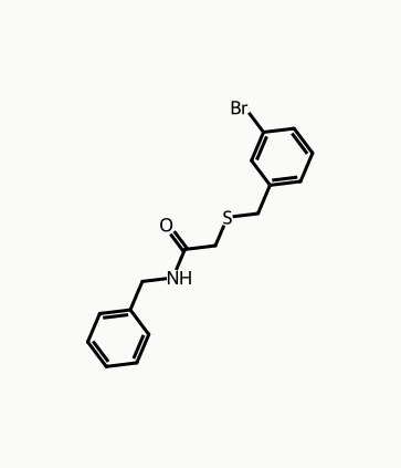 O=C(CSCc1cccc(Br)c1)NCc1ccccc1